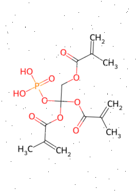 C=C(C)C(=O)OCC(OC(=O)C(=C)C)(OC(=O)C(=C)C)OP(=O)(O)O